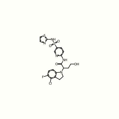 O=C(Nc1ccc(S(=O)(=O)Nc2nccs2)cn1)C(CCO)N1CCc2c1ccc(F)c2Cl